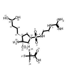 N=C(N)NCCNS(=O)(=O)N1C[C@@H](CCCB(O)O)[C@@](N)(C(=O)O)C1.O=C(O)C(F)(F)F